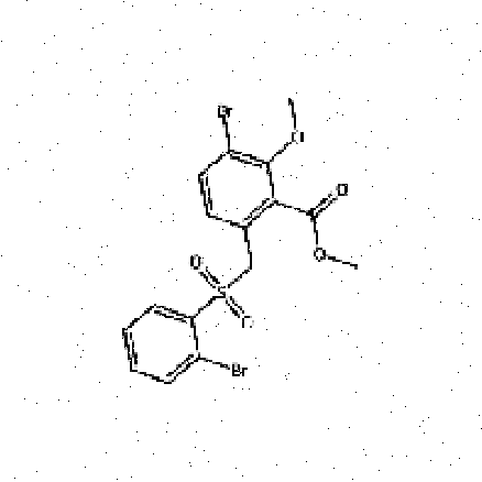 COC(=O)c1c(CS(=O)(=O)c2ccccc2Br)ccc(Br)c1OC